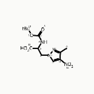 Cc1nn(CC(NC(=O)OC(C)(C)C)C(=O)O)cc1[N+](=O)[O-]